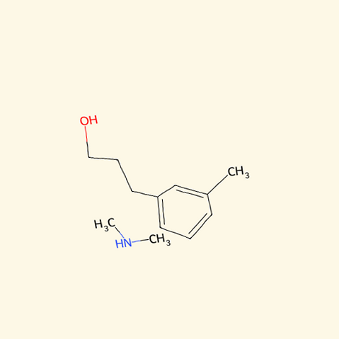 CNC.Cc1cccc(CCCO)c1